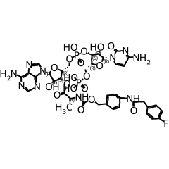 C[C@@H](NC(=O)OCc1ccc(NC(=O)Cc2ccc(F)cc2)cc1)C(=O)O[C@H]1[C@@H](O)[C@H](n2cnc3c(N)ncnc32)O[C@@H]1COP(=O)(O)O[C@H]1[C@@H](O)[C@H](n2ccc(N)nc2=O)O[C@@H]1COP(=O)(O)O